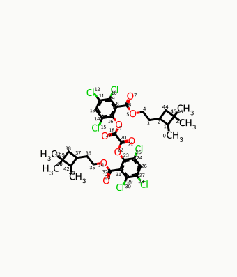 CC1C(CCOC(=O)c2c(Cl)c(Cl)cc(Cl)c2OC(=O)C(=O)Oc2c(Cl)cc(Cl)c(Cl)c2C(=O)OCCC2CC(C)(C)C2C)CC1(C)C